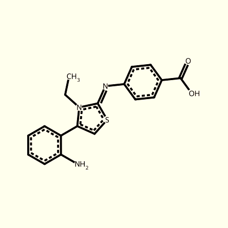 CCn1c(-c2ccccc2N)csc1=Nc1ccc(C(=O)O)cc1